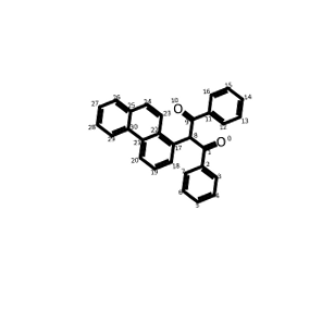 O=C(c1ccccc1)C(C(=O)c1ccccc1)c1cccc2c1ccc1ccccc12